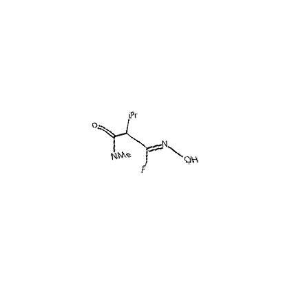 CNC(=O)C(C(F)=NO)C(C)C